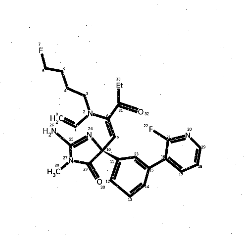 C=CN(CCCCF)/C(=C\[C@@]1(c2cccc(-c3cccnc3F)c2)N=C(N)N(C)C1=O)C(=O)CC